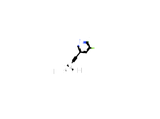 C[Si](C)(C)C#Cc1cnc(Cl)c(F)c1